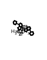 CC1=Cc2c(-c3ccccc3)cccc2C1(Cl)[Si](C)(C)C1(Cl)C(C)=Cc2c(-c3ccccc3)cccc21.[Zr]